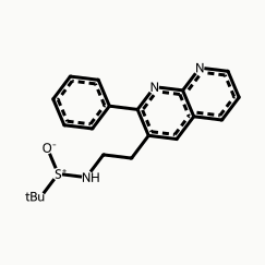 CC(C)(C)[S+]([O-])NCCc1cc2cccnc2nc1-c1ccccc1